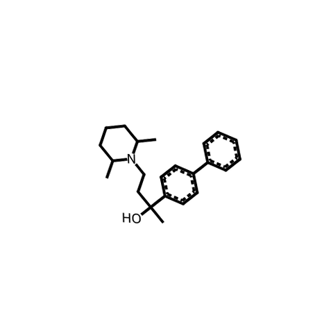 CC1CCCC(C)N1CCC(C)(O)c1ccc(-c2ccccc2)cc1